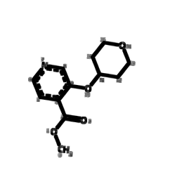 COC(=O)c1ccncc1OC1CCOCC1